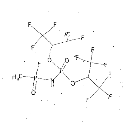 CP(=O)(F)NP(=O)(OC(C(F)(F)F)C(F)(F)F)OC(C(F)(F)F)C(F)(F)F